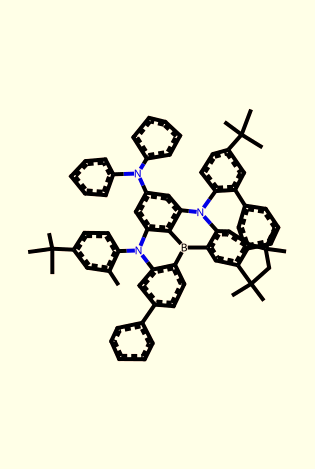 Cc1cc(C(C)(C)C)ccc1N1c2cc(-c3ccccc3)ccc2B2c3cc4c(cc3N(c3ccc(C(C)(C)C)cc3-c3ccccc3)c3cc(N(c5ccccc5)c5ccccc5)cc1c32)C(C)(C)CC4(C)C